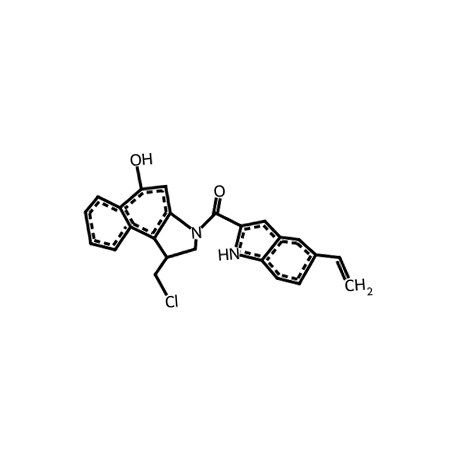 C=Cc1ccc2[nH]c(C(=O)N3CC(CCl)c4c3cc(O)c3ccccc43)cc2c1